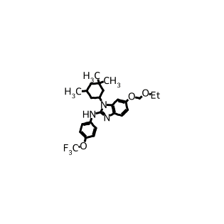 CCOCOc1ccc2nc(Nc3ccc(OC(F)(F)F)cc3)n(C3CC(C)CC(C)(C)C3)c2c1